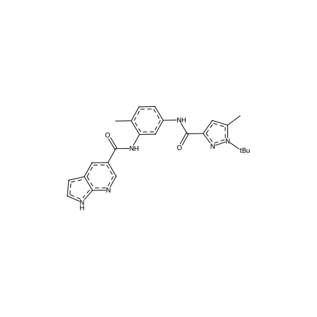 Cc1ccc(NC(=O)c2cc(C)n(C(C)(C)C)n2)cc1NC(=O)c1cnc2[nH]ccc2c1